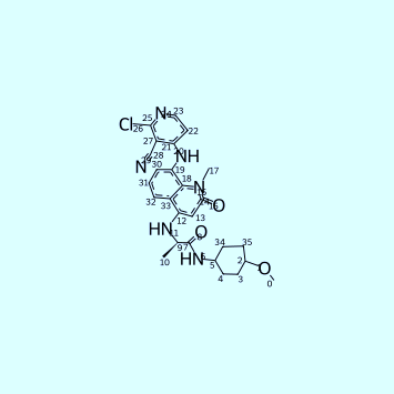 COC1CCC(NC(=O)[C@@H](C)Nc2cc(=O)n(C)c3c(Nc4ccnc(Cl)c4C#N)cccc23)CC1